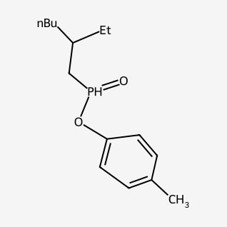 CCCCC(CC)C[PH](=O)Oc1ccc(C)cc1